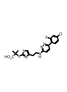 CC(C)(Sc1nc(CCNc2ccc(-c3ccc(Cl)cc3F)nn2)cs1)C(=O)O